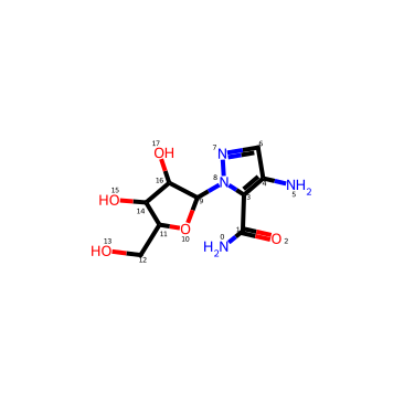 NC(=O)c1c(N)cnn1C1OC(CO)C(O)C1O